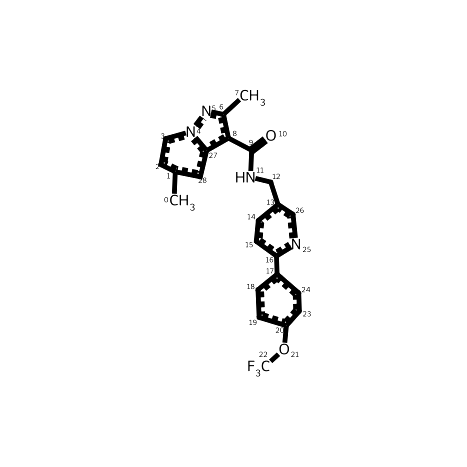 Cc1ccn2nc(C)c(C(=O)NCc3ccc(-c4ccc(OC(F)(F)F)cc4)nc3)c2c1